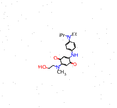 CCN(c1ccc(NC2=CC(=O)C(N(C)CCO)=CC2=O)cc1)C(C)C